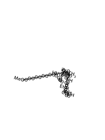 CCc1c2c(nc3cc(F)c(OCCNC(=O)CNC(=O)[C@H](C)NC(=O)[C@@H](NC(=O)[C@H](CCCCNC(=O)COCCOCCOCCOCCOCCOCCOCCOCCOCCOC)NC(=O)CCCN4C(=O)C=CC4=O)C(C)C)cc13)-c1cc3c(c(=O)n1C2)COC(=O)[C@]3(O)CC